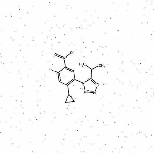 CC(C)c1nnnn1-c1cc([N+](=O)[O-])c(F)cc1C1CC1